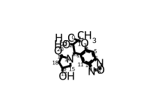 CC1(C)Oc2cc3nonc3cc2C(N2CC(O)CC2=O)C1O